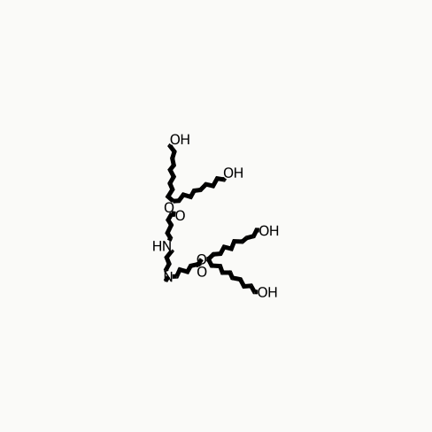 CN(CCCCNCCCCC(=O)OC(CCCCCCCCCO)CCCCCCCCCO)CCCCC(=O)OC(CCCCCCCCCO)CCCCCCCCCO